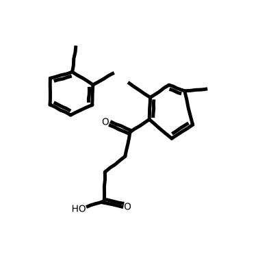 Cc1ccc(C(=O)CCC(=O)O)c(C)c1.Cc1ccccc1C